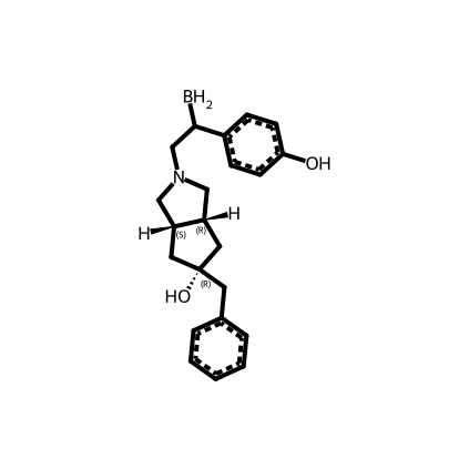 BC(CN1C[C@@H]2C[C@@](O)(Cc3ccccc3)C[C@@H]2C1)c1ccc(O)cc1